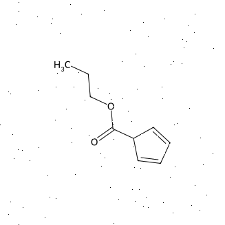 CCCOC(=O)C1C=CC=C1